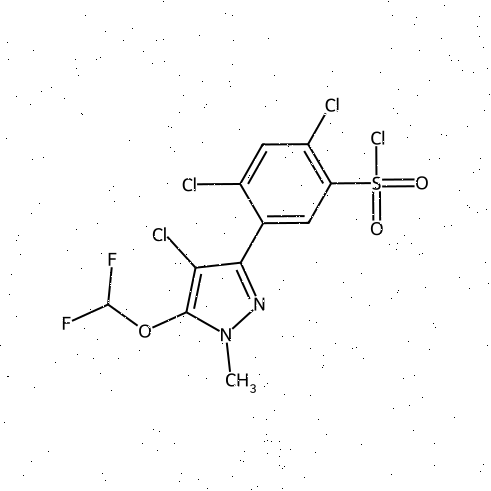 Cn1nc(-c2cc(S(=O)(=O)Cl)c(Cl)cc2Cl)c(Cl)c1OC(F)F